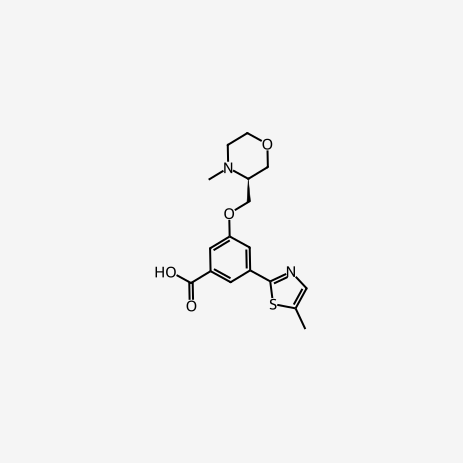 Cc1cnc(-c2cc(OC[C@@H]3COCCN3C)cc(C(=O)O)c2)s1